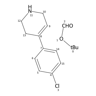 CC(C)(C)OC=O.Clc1ccc(C2=CCNCC2)cc1